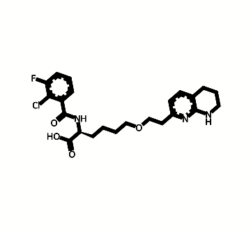 O=C(N[C@@H](CCCCOCCc1ccc2c(n1)NCCC2)C(=O)O)c1cccc(F)c1Cl